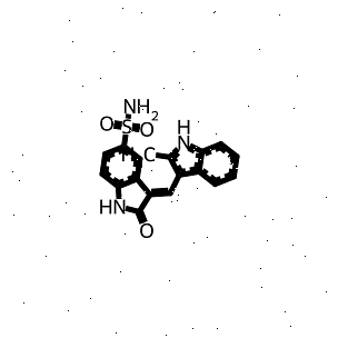 Cc1[nH]c2ccccc2c1C=C1C(=O)Nc2ccc(S(N)(=O)=O)cc21